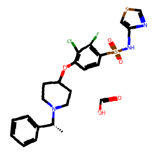 C[C@H](c1ccccc1)N1CCC(Oc2ccc(S(=O)(=O)Nc3cscn3)c(F)c2Cl)CC1.O=CO